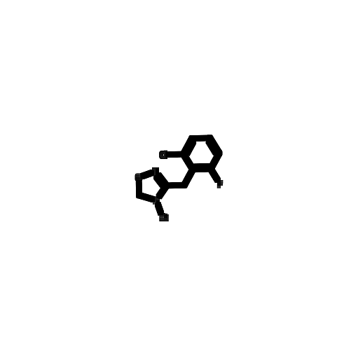 CCN1CON=C1Cc1c(F)cccc1Cl